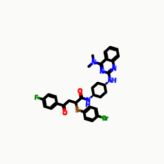 CN(C)c1nc(N[C@H]2CC[C@@H](NC(=O)C(CC(=O)c3ccc(F)cc3)Sc3ccc(Br)cc3)CC2)nc2ccccc12